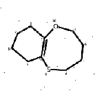 C1CCSC2=C(CCCC2)OC1